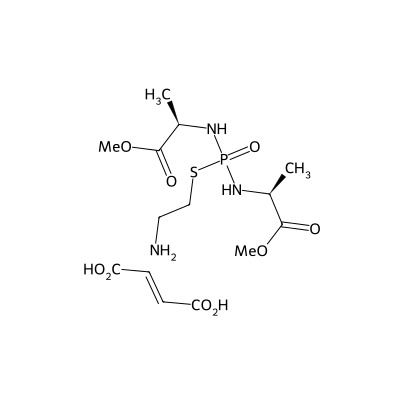 COC(=O)[C@H](C)NP(=O)(N[C@H](C)C(=O)OC)SCCN.O=C(O)/C=C/C(=O)O